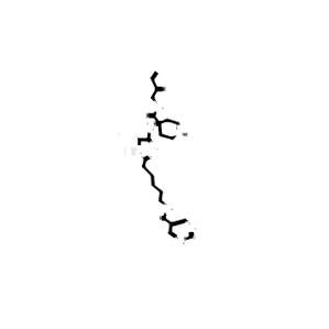 C=CC(=O)CNC(=O)C1(NC(=O)[C@@H](NC(=O)CCCCCNC(=O)c2cnc(O)nc2)C(C)C)CCN(CC)CC1